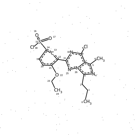 CCCc1nc(C)c2c(Cl)nc(-c3cc(S(=O)(=O)Cl)ccc3OCC)nn12